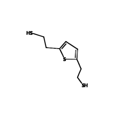 SCCc1ccc(CCS)s1